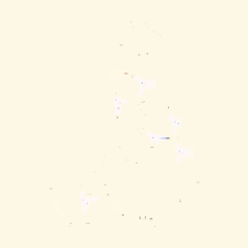 COC1CCC(Nc2ncc3c(NC(=O)c4ccccc4)ncc(-c4ccc(C(=O)N5CCOCC5)cc4)c3n2)CC1